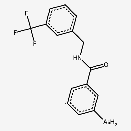 O=C(NCc1cccc(C(F)(F)F)c1)c1c[c]cc([AsH2])c1